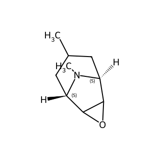 CC1C[C@H]2C3OC3[C@H](C1)N2C